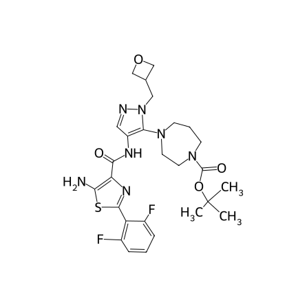 CC(C)(C)OC(=O)N1CCCN(c2c(NC(=O)c3nc(-c4c(F)cccc4F)sc3N)cnn2CC2COC2)CC1